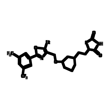 CCc1oc(-c2cc(C(F)(F)F)cc(C(F)(F)F)c2)nc1COC1CCCC(CCC2SC(=O)NC2=O)C1